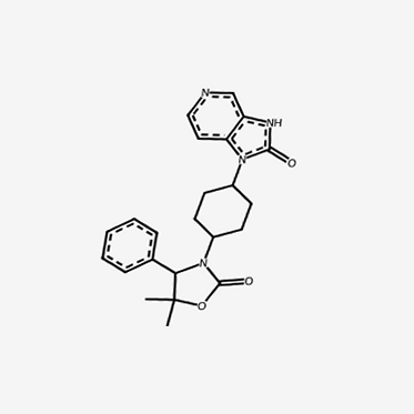 CC1(C)OC(=O)N(C2CCC(n3c(=O)[nH]c4cnccc43)CC2)C1c1ccccc1